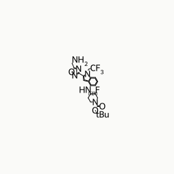 CC(C)(C)OC(=O)N1CC[C@H](Nc2cccc3c2cc(-c2noc(CN)n2)n3CC(F)(F)F)[C@H](F)C1